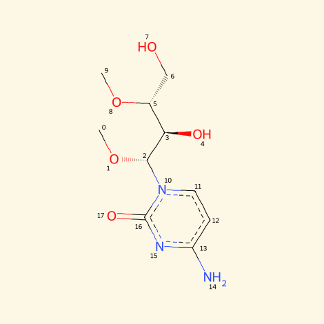 CO[C@H]([C@H](O)[C@@H](CO)OC)n1ccc(N)nc1=O